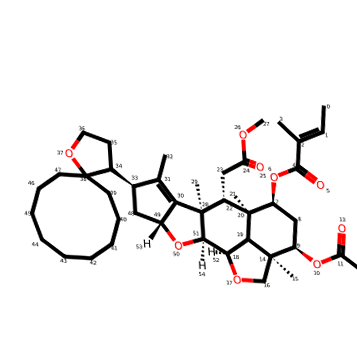 C/C=C(\C)C(=O)O[C@H]1C[C@@H](OC(C)=O)[C@@]2(C)CO[C@@H]3C2[C@@]1(C)[C@@H](CC(=O)OC)[C@]1(C)C2=C(C)[C@H](C4CCOC45CCCCCCCCC5)C[C@H]2O[C@H]31